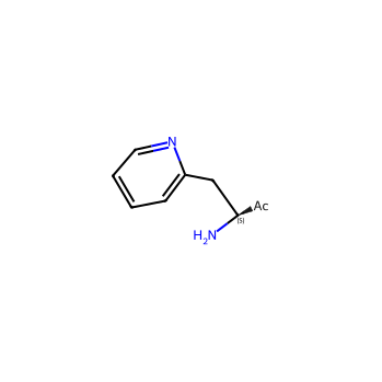 CC(=O)[C@@H](N)Cc1ccccn1